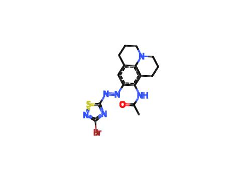 CC(=O)Nc1c(N=Nc2nc(Br)ns2)cc2c3c1CCCN3CCC2